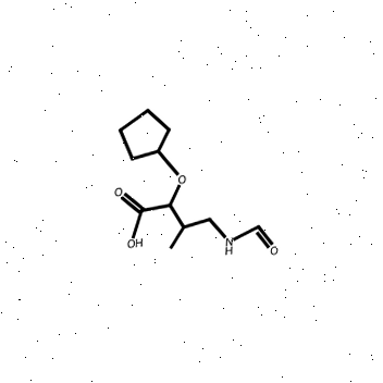 CC(CNC=O)C(OC1CCCC1)C(=O)O